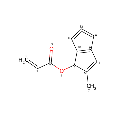 C=CC(=O)OC1C(C)=CC2=C1C=C=C2